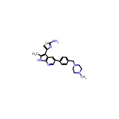 Cc1[nH]c2ncc(-c3ccc(CN4CCN(C)CC4)cc3)cc2c1-c1csc(N)n1